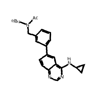 CCCCN(Cc1cccc(-c2ccc3ncnc(NC4CC4)c3c2)c1)C(C)=O